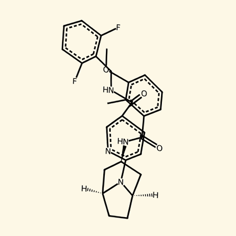 COc1cccc(C(=O)N[C@H]2C[C@H]3CC[C@@H](C2)N3c2ccc(C(=O)NCc3c(F)cccc3F)cn2)c1C